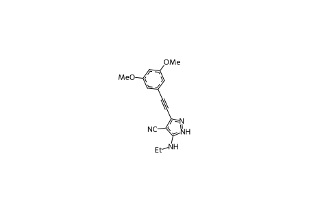 CCNc1[nH]nc(C#Cc2cc(OC)cc(OC)c2)c1C#N